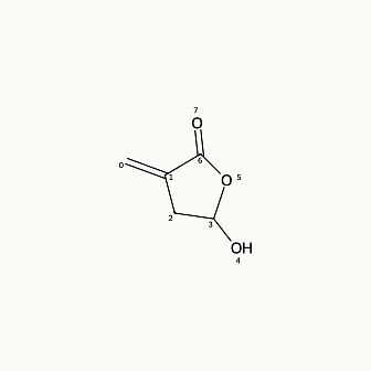 C=C1CC(O)OC1=O